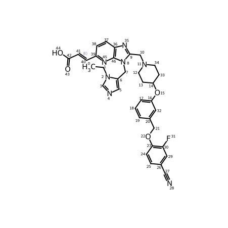 CCn1cncc1Cn1c(CN2CCC(Oc3cccc(COc4ccc(C#N)cc4F)c3)CC2)nc2ccc(/C=C/C(=O)O)nc21